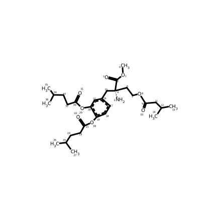 COC(=O)[C@@](N)(CCOC(=O)CC(C)C)Cc1ccc(OC(=O)CCC(C)C)c(OC(=O)CCC(C)C)c1